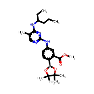 CCCC(CC)Nc1nc(Nc2ccc(B3OC(C)(C)C(C)(C)O3)c(C(=O)OC)c2)ncc1C